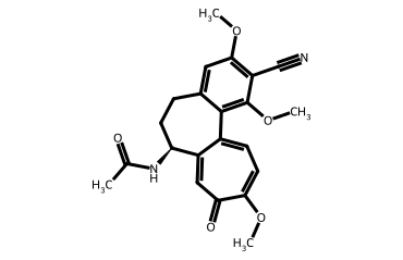 COc1cc2c(c(OC)c1C#N)-c1ccc(OC)c(=O)cc1[C@@H](NC(C)=O)CC2